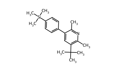 Cc1nc(C)c(C(C)(C)C)cc1-c1ccc([Si](C)(C)C)cc1